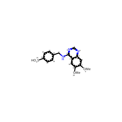 COc1cc2ncnc(NCc3ccc(S(=O)(=O)O)cc3)c2cc1OC